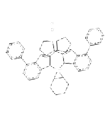 C1=C(C2CCCC2)[CH]([Hf+2]2([CH]3C(C4CCCC4)=Cc4c(-c5ccccc5)cccc43)[CH]3CCCC[CH]32)c2cccc(-c3ccccc3)c21.[Cl-].[Cl-]